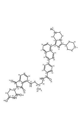 CC(=O)N1CCn2c(C3CCOCC3)nc(-c3cccc4cc(-c5ccc(C(=O)NC[C@H](C)CNc6cccc7c6C(=O)N(C6CCC(=O)NC6=O)C7=O)nc5)ncc34)c2C1